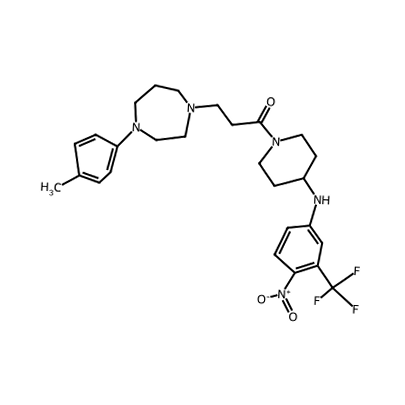 Cc1ccc(N2CCCN(CCC(=O)N3CCC(Nc4ccc([N+](=O)[O-])c(C(F)(F)F)c4)CC3)CC2)cc1